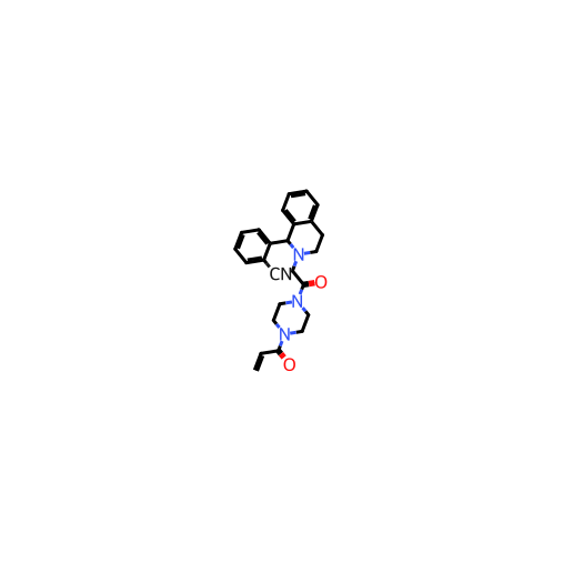 C=CC(=O)N1CCN(C(=O)CN2CCc3ccccc3C2c2ccccc2C#N)CC1